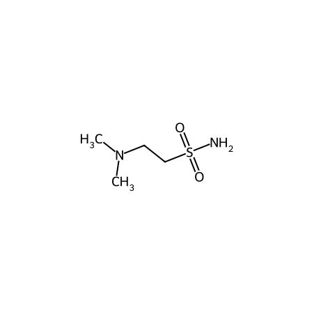 CN(C)CCS(N)(=O)=O